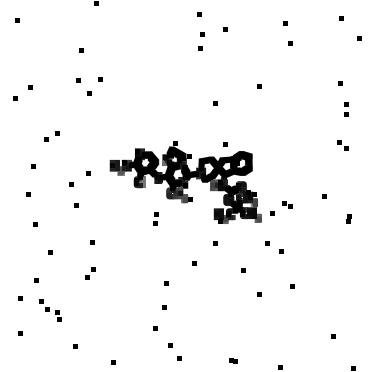 Cc1nc(N2CCC3(CC2)Cc2ccccc2[C@H]3NC(=O)OC(C)(C)C)n2ccnc2c1Sc1ccnc(N)c1Cl